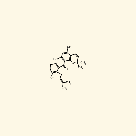 CC(C)=CCc1c(O)cccc1C(=O)c1c(O)cc(O)c2c1OC(C)(C)C=C2